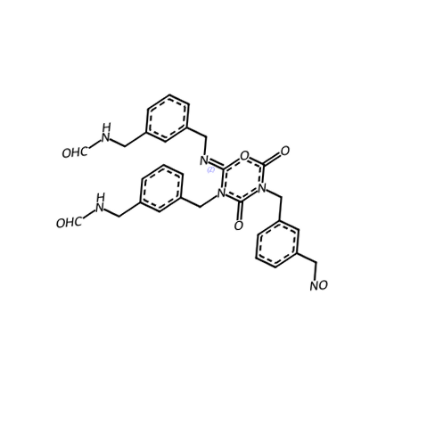 O=CNCc1cccc(C/N=c2\oc(=O)n(Cc3cccc(CN=O)c3)c(=O)n2Cc2cccc(CNC=O)c2)c1